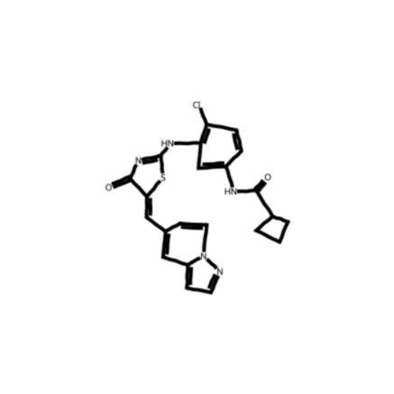 O=C1N=C(Nc2cc(NC(=O)C3CCC3)ccc2Cl)S/C1=C\c1ccn2nccc2c1